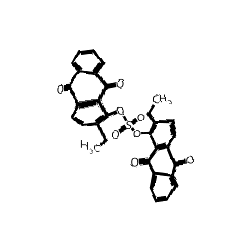 CCc1ccc2c(c1OS(=O)(=O)Oc1c(CC)ccc3c1C(=O)c1ccccc1C3=O)C(=O)c1ccccc1C2=O